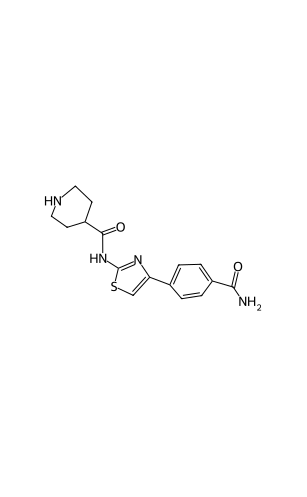 NC(=O)c1ccc(-c2csc(NC(=O)C3CCNCC3)n2)cc1